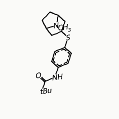 CN1C2CCC1CC(Sc1ccc(NC(=O)C(C)(C)C)cc1)C2